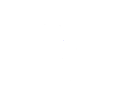 O=C(c1cccc(I)c1)N1Cc2ccccc2C1